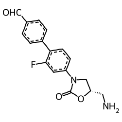 NC[C@H]1CN(c2ccc(-c3ccc(C=O)cc3)c(F)c2)C(=O)O1